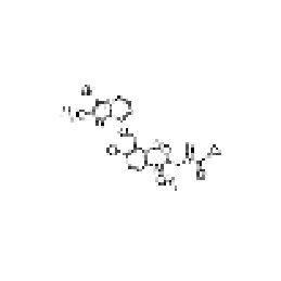 Cc1nc2c(OCc3c(Cl)ccc(N(C)C(=O)CNC(=O)C4CC4)c3Cl)cccn2c1Br